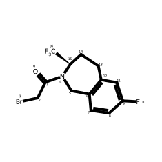 O=C(CBr)N1Cc2ccc(F)cc2CC[C@@H]1C(F)(F)F